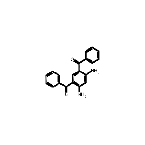 Nc1cc(N)c(C(=O)c2ccccc2)cc1C(=O)c1ccccc1